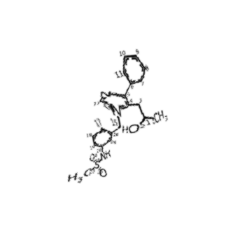 CC(O)Cc1c(-c2ccccc2)ncn1Cc1cccc(NS(C)(=O)=O)c1